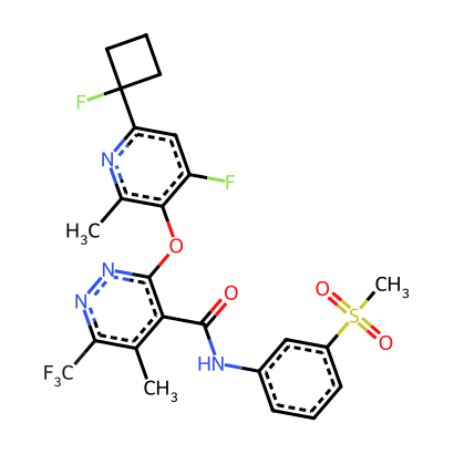 Cc1nc(C2(F)CCC2)cc(F)c1Oc1nnc(C(F)(F)F)c(C)c1C(=O)Nc1cccc(S(C)(=O)=O)c1